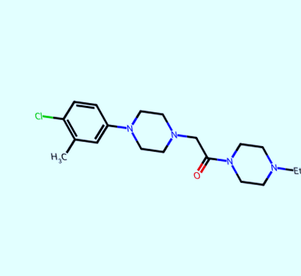 CCN1CCN(C(=O)CN2CCN(c3ccc(Cl)c(C)c3)CC2)CC1